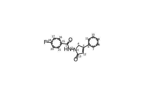 O=C(NN1CC(c2ccccc2)=CC1=O)c1ccc(F)cc1